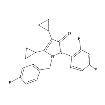 O=c1c(C2CC2)c(C2CC2)n(Cc2ccc(F)cc2)n1-c1ccc(F)cc1F